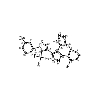 Fc1cccc(Cl)c1-c1noc(-c2cnn(-c3cccc(Cl)c3)c2C(F)(F)F)c1-c1nnn[nH]1